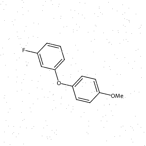 COc1ccc(Oc2cccc(F)c2)cc1